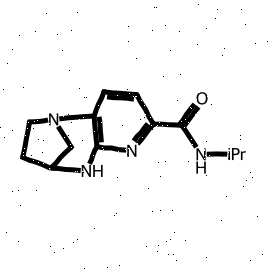 CC(C)NC(=O)c1ccc2c(n1)NC1CCN2C1